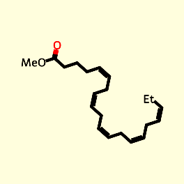 CC/C=C\C/C=C\C/C=C\C/C=C\C/C=C\CCCC(=O)OC